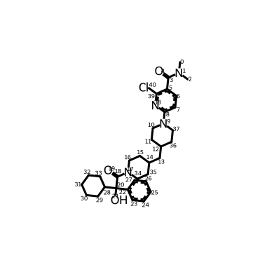 CN(C)C(=O)c1ccc(N2CCC(CC3CCN(C(=O)C(O)(c4ccccc4)C4CCCCC4)CC3)CC2)nc1Cl